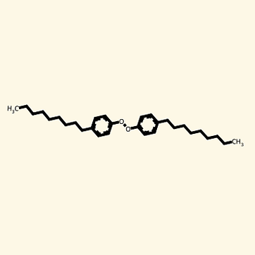 CCCCCCCCCc1ccc(OOc2ccc(CCCCCCCCC)cc2)cc1